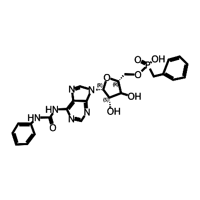 O=C(Nc1ccccc1)Nc1ncnc2c1ncn2[C@@H]1O[C@H](COP(=O)(O)Cc2ccccc2)C(O)[C@@H]1O